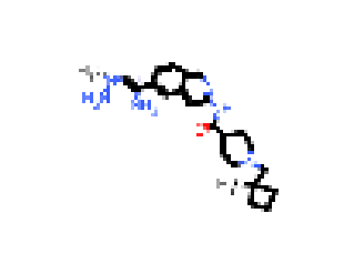 CN(N)/C=C(\N)c1ccc2cnc(NC(=O)C3CCN(CC4(C)CCC4)CC3)cc2c1